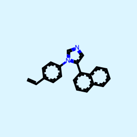 C=Cc1ccc(-n2cncc2-c2cccc3ccccc23)cc1